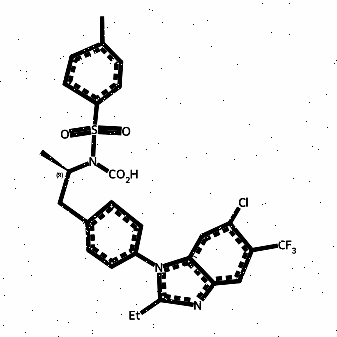 CCc1nc2cc(C(F)(F)F)c(Cl)cc2n1-c1ccc(C[C@@H](C)N(C(=O)O)S(=O)(=O)c2ccc(C)cc2)cc1